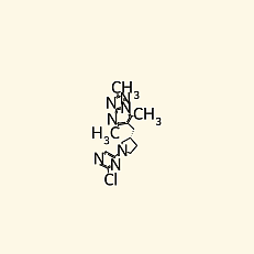 Cc1nc2nc(C)c(C[C@@H]3CCN(c4cncc(Cl)n4)C3)c(C)n2n1